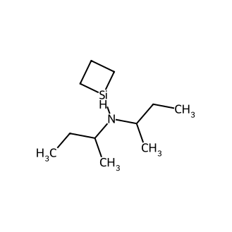 CCC(C)N(C(C)CC)[SiH]1CCC1